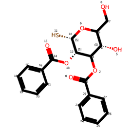 O=C(OC1[C@@H](O)C(CO)O[C@@H](S)[C@H]1OC(=O)c1ccccc1)c1ccccc1